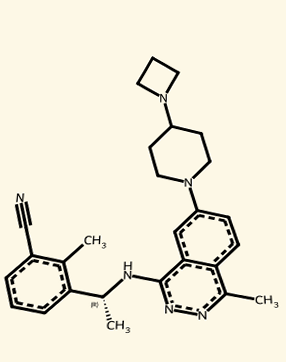 Cc1c(C#N)cccc1[C@@H](C)Nc1nnc(C)c2ccc(N3CCC(N4CCC4)CC3)cc12